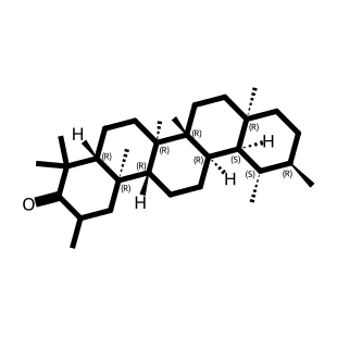 CC1C[C@]2(C)[C@H]3CC[C@@H]4[C@@H]5[C@@H](C)[C@H](C)CC[C@]5(C)CC[C@@]4(C)[C@]3(C)CC[C@H]2C(C)(C)C1=O